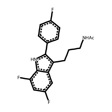 CC(=O)NCCCc1c(-c2ccc(F)cc2)[nH]c2c(F)cc(F)cc12